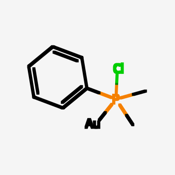 C[P](C)(Cl)([Au])c1ccccc1